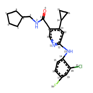 O=C(NCC1CCCC1)c1cnc(Nc2ccc(F)cc2Cl)cc1C1CC1